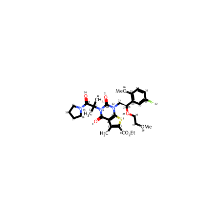 CCOC(=O)c1sc2c(c1C)c(=O)n(C(C)(C)C(=O)N1CCCC1)c(=O)n2C[C@H](OCCOC)c1cc(F)ccc1OC